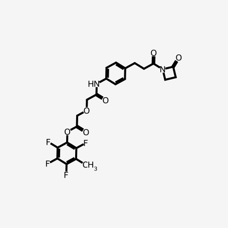 Cc1c(F)c(F)c(F)c(OC(=O)COCC(=O)Nc2ccc(CCC(=O)N3CCC3=O)cc2)c1F